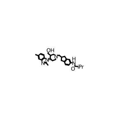 Cc1ccc2c(c1)nc(C)n2[C@@H]1CCN(CC2Cc3ccc(NC(=O)C(C)C)cc3C2)CC1CO